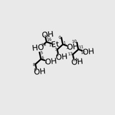 CC(O)CO.CC(O)CO.CC(O)CO.CCC(O)O